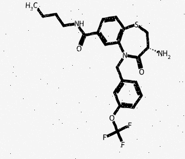 CCCCNC(=O)c1ccc2c(c1)N(Cc1cccc(OC(F)(F)F)c1)C(=O)[C@@H](N)CS2